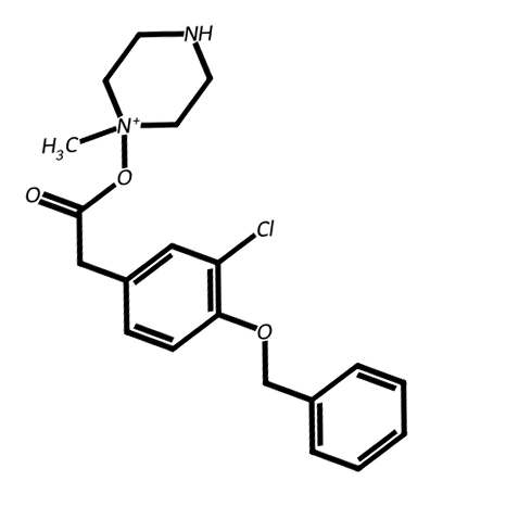 C[N+]1(OC(=O)Cc2ccc(OCc3ccccc3)c(Cl)c2)CCNCC1